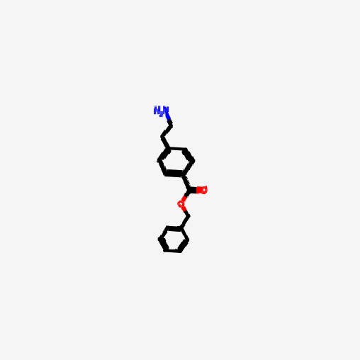 NCCc1ccc(C(=O)OCc2ccccc2)cc1